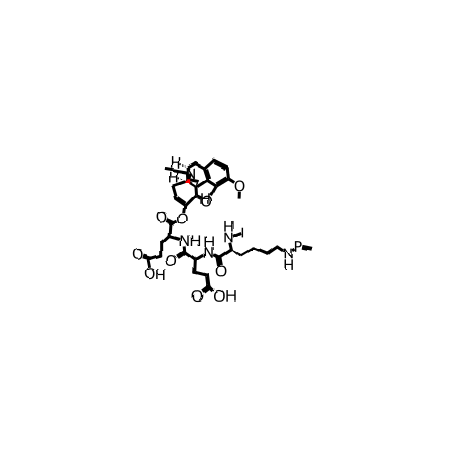 C=PNCCCC[C@H](NI)C(=O)NC(CCC(=O)O)C(=O)NC(CCC(=O)O)C(=O)OC1=CC[C@H]2[C@H]3Cc4ccc(OC)c5c4[C@@]2(CCN3C)[C@H]1O5